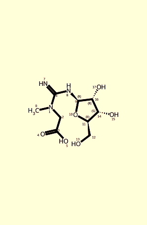 CN(CC(=O)O)C(=N)N[C@@H]1O[C@H](CO)[C@@H](O)[C@H]1O